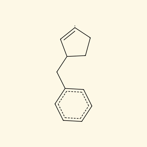 [C]1=CC(Cc2ccccc2)CC1